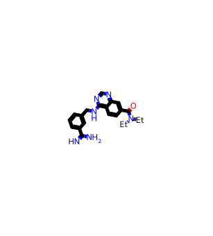 CCN(CC)C(=O)c1ccc2c(NCc3cccc(C(=N)N)c3)ncnc2c1